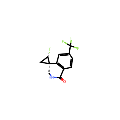 O=C1NC[C@@]2(C[C@@H]2F)c2cc(C(F)(F)F)ccc21